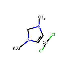 CCCCN1C=CN(C)C1.[Cl][Co][Cl]